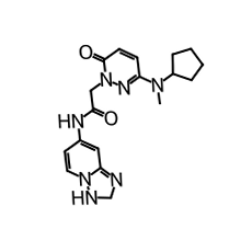 CN(c1ccc(=O)n(CC(=O)NC2=CC3=NCNN3C=C2)n1)C1CCCC1